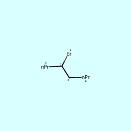 C[CH]CC(Br)CCCC